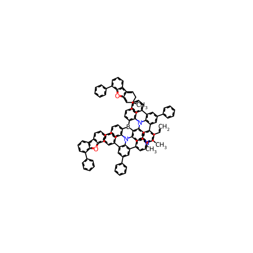 C=CCC(C)N(C)c1cc2c3c(c1)N(c1c(-c4ccccc4)cc(-c4ccccc4)cc1-c1ccccc1)c1cc(C4(C)C=c5oc6c(-c7ccccc7)cccc6c5=CC4)ccc1B3c1ccc(-c3ccc4c(c3)oc3c(-c5ccccc5)cccc34)cc1N2c1c(-c2ccccc2)cc(-c2ccccc2)cc1-c1ccccc1